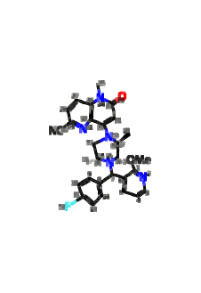 COc1ncccc1C(c1ccc(F)cc1)N1C[C@H](C)N(c2cc(=O)n(C)c3ccc(C#N)nc23)C[C@H]1C